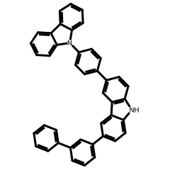 c1ccc(-c2cccc(-c3ccc4[nH]c5ccc(-c6ccc(-n7c8ccccc8c8ccccc87)cc6)cc5c4c3)c2)cc1